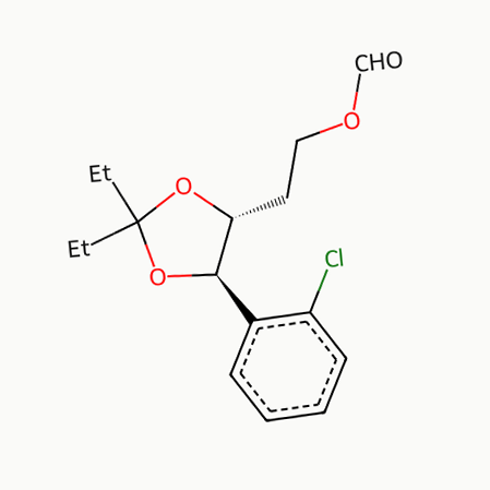 CCC1(CC)O[C@H](c2ccccc2Cl)[C@@H](CCOC=O)O1